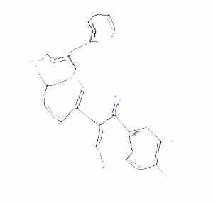 N=C(/C(=C\N)C1=CN2C(c3cccs3)=CNC2C=C1)c1ccc(F)cc1